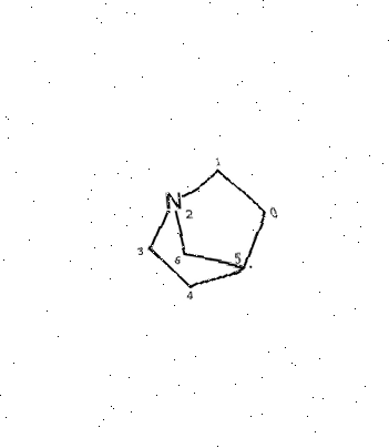 C1CN2CC[C]1C2